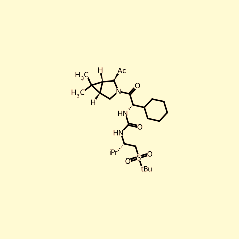 CC(=O)[C@@H]1[C@@H]2[C@H](CN1C(=O)[C@@H](NC(=O)N[C@H](CS(=O)(=O)C(C)(C)C)C(C)C)C1CCCCC1)C2(C)C